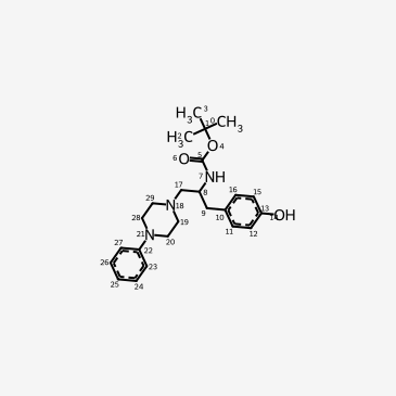 CC(C)(C)OC(=O)NC(Cc1ccc(O)cc1)CN1CCN(c2ccccc2)CC1